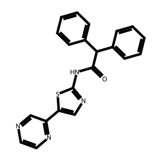 O=C(Nc1ncc(-c2cnccn2)s1)C(c1ccccc1)c1ccccc1